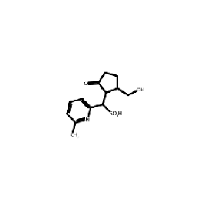 Cc1cccc(C(C2C(=O)CCC2CO)S(=O)(=O)O)n1